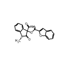 CN1C(=O)C(OC(=O)c2cc3ccccc3o2)(C(N)=O)c2ccccc21